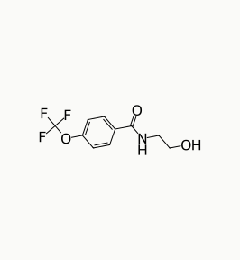 O=C(NCCO)c1ccc(OC(F)(F)F)cc1